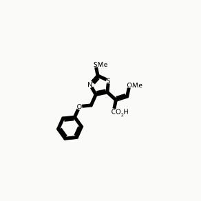 CO/C=C(/C(=O)O)c1sc(SC)nc1COc1ccccc1